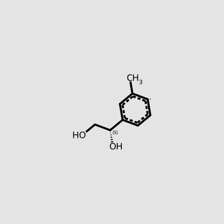 Cc1[c]ccc([C@H](O)CO)c1